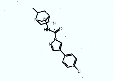 CC1CC2CCN1C[C@@H]2NC(=O)n1cc(-c2ccc(Cl)cc2)cn1